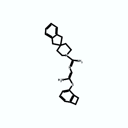 N/C(=C\N=C(/N)N1CCC2(CC1)Cc1ccccc1C2)Sc1cccc2c1CC2